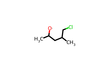 CC([O])CC(C)CCl